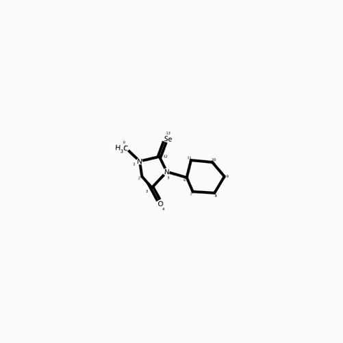 CN1CC(=O)N(C2CCCCC2)C1=[Se]